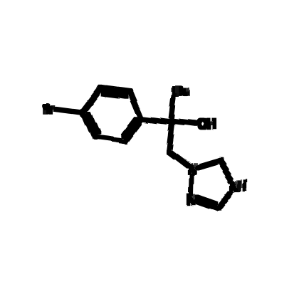 CC(C)(C)C(O)(CN1CNC=N1)c1ccc(Br)cc1